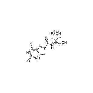 Cc1[nH]c(=O)[nH]c(=O)c1/C=C/C(=O)NC(CO)(CO)CO